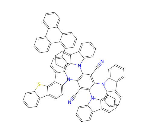 N#Cc1c(-n2c3ccccc3c3ccccc32)c(-n2c3ccccc3c3ccccc32)c(C#N)c(-n2c3cc(-c4cccc5c6ccccc6c6ccccc6c45)ccc3c3c4sc5ccccc5c4ccc32)c1-n1c2ccccc2c2ccccc21